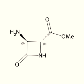 COC(=O)[C@@H]1NC(=O)[C@H]1N